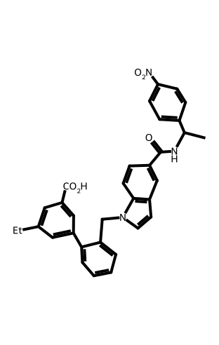 CCc1cc(C(=O)O)cc(-c2ccccc2Cn2ccc3cc(C(=O)NC(C)c4ccc([N+](=O)[O-])cc4)ccc32)c1